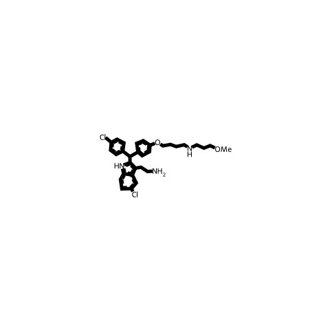 COCCCNCCCCOc1ccc(C(c2ccc(Cl)cc2)c2[nH]c3ccc(Cl)cc3c2CCN)cc1